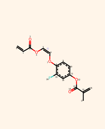 C=CC(=O)O/C=C\Oc1ccc(OC(=O)C(=C)C)cc1F